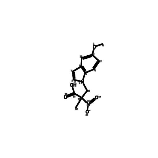 COc1ccc2c(ccn2CC(C)(C(=O)O)[N+](=O)[O-])c1